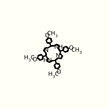 COc1ccc(-c2c3nc(c(-c4ccc(OC)cc4)c4ccc([nH]4)c(-c4ccc(OC)cc4)c4nc(c(-c5ccc(OC)cc5)c5ccc2[nH]5)C=C4)C=C3)cc1